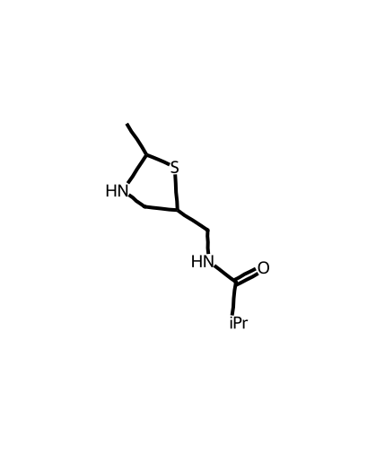 CC1NCC(CNC(=O)C(C)C)S1